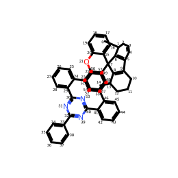 CC1CC=CC2=C1C1(C3=C2CCCC3C)c2ccccc2Oc2c(-c3ccccc3-c3nc(-c4ccccc4)nc(-c4ccccc4-c4ccccc4)n3)cccc21